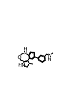 CNCc1cccc(-c2ccc3c(c2)C2=C(COCN3)NCC2C)c1